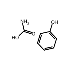 NC(=O)O.Oc1ccccc1